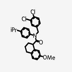 COc1ccc2c(c1)C(C(=O)N(Cc1ccc(Cl)c(Cl)c1)c1ccc(C(C)C)cc1)CCC2